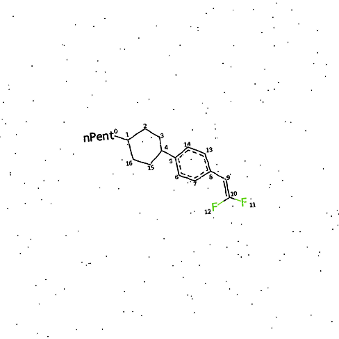 CCCCCC1CCC(c2ccc(C=C(F)F)cc2)CC1